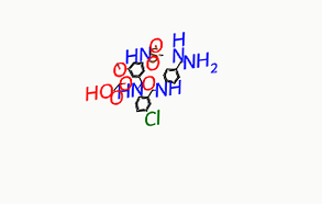 COc1cc(NS(C)(=O)=O)cc(CNc2ccc(Cl)cc2C(=O)Nc2ccc(C(=N)N)cc2)c1OCC(=O)O